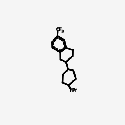 CCCC1CCC(C2CCc3cc(C(F)(F)F)ccc3C2)CC1